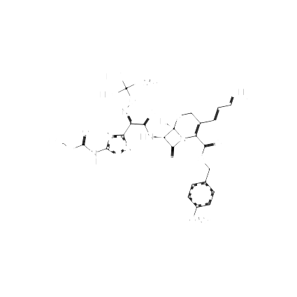 C=C/C=C/C1=C(C(=O)OCc2ccc(OC)cc2)N2C(=O)[C@@H](NC(=O)/C(=N\OC(C)(C)OC)c3nsc(NC(=O)OC(C)(C)C)n3)[C@@H]2SC1